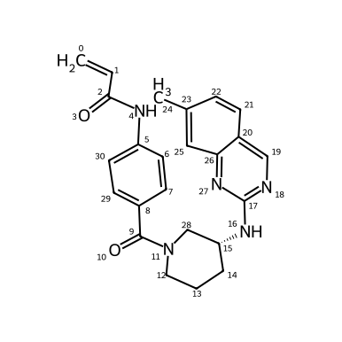 C=CC(=O)Nc1ccc(C(=O)N2CCC[C@@H](Nc3ncc4ccc(C)cc4n3)C2)cc1